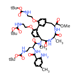 COC(=O)[C@@H]1Cc2ccc(OCCNC(=O)OC(C)(C)C)c(c2)-c2cc(ccc2OCCNC(=O)OC(C)(C)C)[C@H](N(C)C(=O)[C@H](CCNC(=O)OC(C)(C)C)NC(=O)c2ccc(C)cc2N)C(=O)N[C@@H](C)C(=O)N1